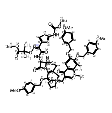 CCn1cc(C[N+]2(CC3=C(C(=O)OCc4ccc(OC)cc4)N4C(=O)[C@@H](NC(=O)/C(=N\OC(C)(C)C(=O)OC(C)(C)C)c5csc(NC(=O)OC(C)(C)C)n5)[C@H]4SC3)CCCC2)c(=O)c2cc(OCc3ccc(OC)cc3)c(OCc3ccc(OC)cc3)c(F)c21